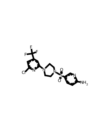 Nc1ccc(S(=O)(=O)N2CCN(c3cc(C(F)(F)F)cc(Cl)n3)CC2)cn1